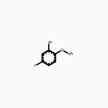 CCCOc1ccc(F)cc1[C](C)C